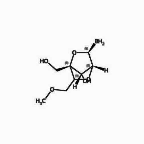 B[C@@H]1O[C@@]2(CO)C(COC)O[C@@H]1[C@@H]2O